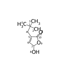 CC(C)(C)CC1=CC(O)OC1=O